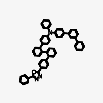 c1ccc(-c2cccc(-c3ccc(N(c4ccccc4)c4ccc(-c5ccccc5-c5ccccc5-c5ccc(-c6nnc(-c7ccccc7)o6)cc5)cc4)cc3)c2)cc1